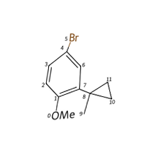 COc1ccc(Br)cc1C1(C)CC1